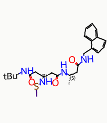 C[C@@H](CC(=O)NCc1cccc2ccccc12)NC(=O)C[C@H](CC(=O)NC(C)(C)C)NSI